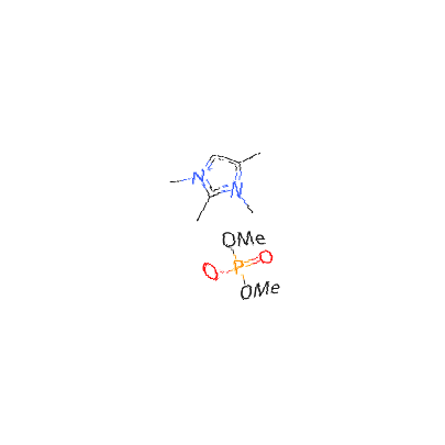 COP(=O)([O-])OC.Cc1c[n+](C)c(C)n1C